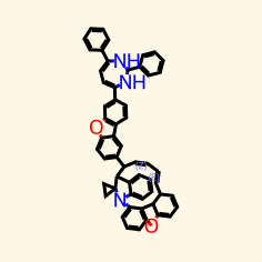 C1=CC2/C=C/C=C\C(c3ccc4oc5cc(C6=CC=C(c7ccccc7)NC(c7ccccc7)N6)ccc5c4c3)C3c4ccccc4N(c4cccc5c4C2C(=C1)O5)C31CC1